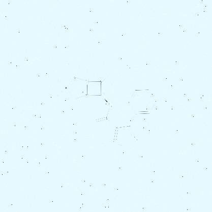 Cc1onc(-c2ccccc2)c1C(=O)N[C@@H]1C(=O)N2[C@@H]1SC(C)(C)[C@@H]2C(=O)O.[NaH]